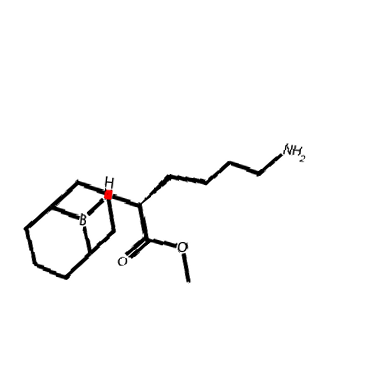 COC(=O)[C@H](CCCCN)NB1C2CCCC1CCC2